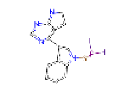 IP(I)Sn1cc(-c2ncnc3[nH]ccc23)c2ccccc21